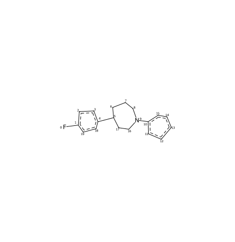 Fc1ccc(C2CCCN(c3ccccc3)CC2)cc1